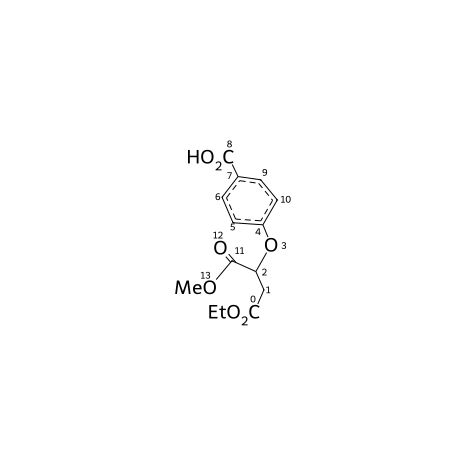 CCOC(=O)CC(Oc1ccc(C(=O)O)cc1)C(=O)OC